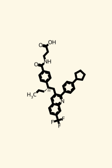 CCC[C@@H](Cc1cc2ccc(C(F)(F)F)cc2nc1-c1ccc(C2CCCC2)cc1)c1ccc(C(=O)NCCC(=O)O)cc1